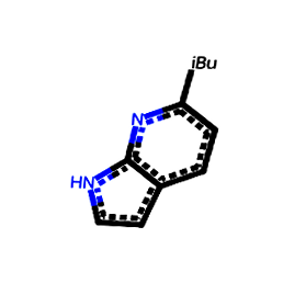 CCC(C)c1ccc2cc[nH]c2n1